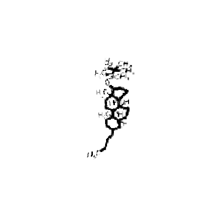 CCCCC1CC[C@@]2(C)[C@H](CC[C@@H]3[C@@H]2CC[C@]2(C)C(O[Si](C)(C)C(C)(C)C)CC[C@@H]32)C1